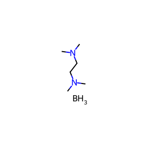 B.CN(C)CCN(C)C